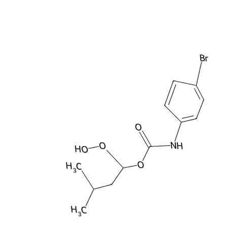 CC(C)CC(OO)OC(=O)Nc1ccc(Br)cc1